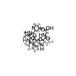 CCCC(NC(=O)[C@@H]1CCCN1C(=O)[C@@H](NC(=O)[C@@H](NC(=O)c1cnccn1)C(C)C)C(C)C)C(=O)C(=O)NCC(=O)O